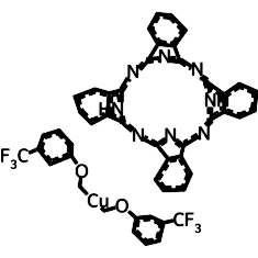 FC(F)(F)c1cccc(O[CH2][Cu][CH2]Oc2cccc(C(F)(F)F)c2)c1.c1ccc2c(c1)-c1nc-2nc2[nH]c(nc3nc(nc4[nH]c(n1)c1ccccc41)-c1ccccc1-3)c1ccccc21